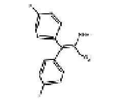 CC(=O)NC(C(=O)O)=C(c1ccc(F)cc1)c1ccc(F)cc1